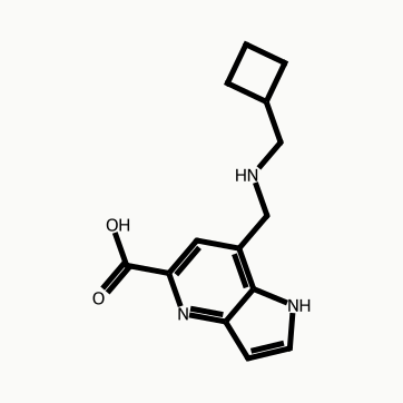 O=C(O)c1cc(CNCC2CCC2)c2[nH]ccc2n1